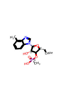 COC[C@H]1O[C@@H](n2cnc3c(C)cccc32)[C@@H](O)C1O[P@](C)(=O)O